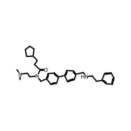 CN(C)CCN(Cc1ccc(-c2ccc(CNCCc3ccccc3)cc2)cc1)C(=O)CCC1CCCC1